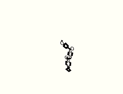 COc1ccc(C(=O)N2CCN(CC(=O)N3CCN(C4CCC4)CC3)CC2)cc1